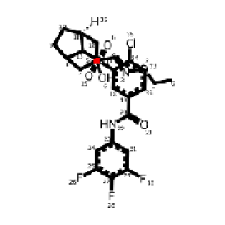 CCO/N=C/[C@]1(O)CC2CC[C@@H](C1)C2S(=O)(=O)c1cc(C(=O)Nc2cc(F)c(F)c(F)c2)ccc1Cl